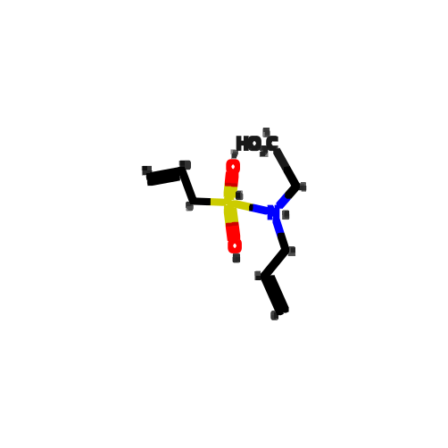 C=CCN(CC(=O)O)S(=O)(=O)CC=C